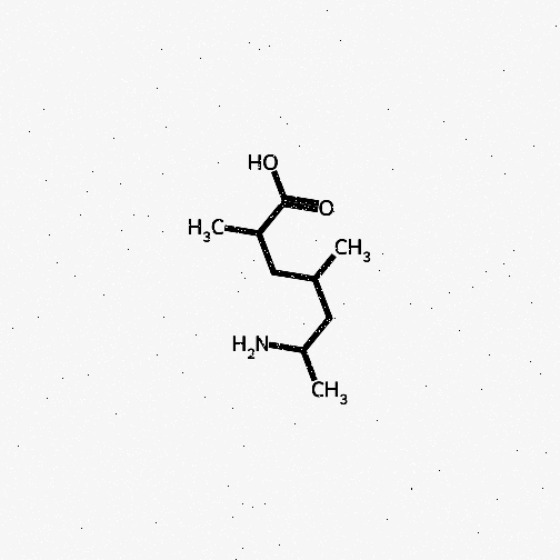 CC(N)CC(C)CC(C)C(=O)O